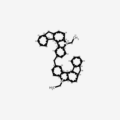 CCn1c2ccc(Cc3ccc4c(c3)c3c5c(ccc3n4CC)Cc3ccccc3-5)cc2c2c3c(ccc21)Cc1ccccc1-3